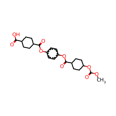 COC(=O)OC1CCC(C(=O)Oc2ccc(OC(=O)C3CCC(C(=O)O)CC3)cc2)CC1